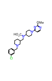 COc1nccc(N2CCC(N(CC3CCCN(Cc4cccc(Cl)c4)C3)C(=O)O)CC2)n1